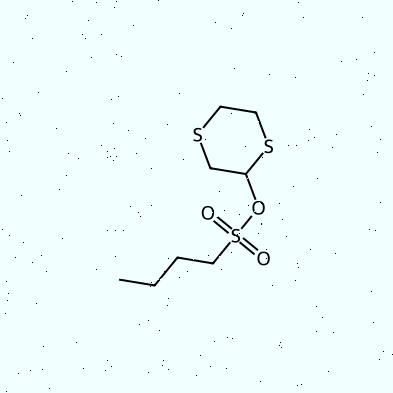 CCCCS(=O)(=O)OC1CSCCS1